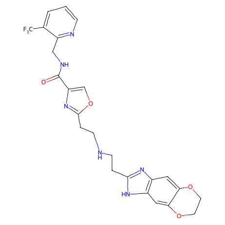 O=C(NCc1ncccc1C(F)(F)F)c1coc(CCNCCc2nc3cc4c(cc3[nH]2)OCCO4)n1